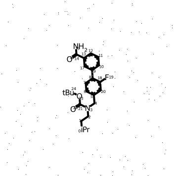 CC(C)CCN(Cc1ccc(-c2cccc(C(N)=O)c2)c(F)c1)C(=O)OC(C)(C)C